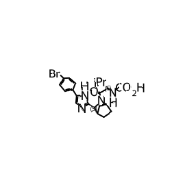 CC(C)[C@H](NC(=O)O)C(=O)N1C2CCC(C2)[C@H]1c1ncc(-c2ccc(Br)cc2)[nH]1